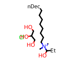 CCCCCCCCCCCCCCCCCC[N+](C)(C)C(O)CC.OCC(O)CO.[Cl-]